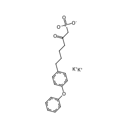 O=C(CCCCc1ccc(Oc2ccccc2)cc1)CP(=O)([O-])[O-].[K+].[K+]